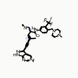 C=N/C=C(\C=C(/C)C#Cc1n[nH]c2ncncc12)C(=O)Nc1ccc(CN2CCN(C)CC2)c(C(F)(F)F)c1